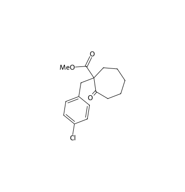 COC(=O)C1(Cc2ccc(Cl)cc2)CCCCCC1=O